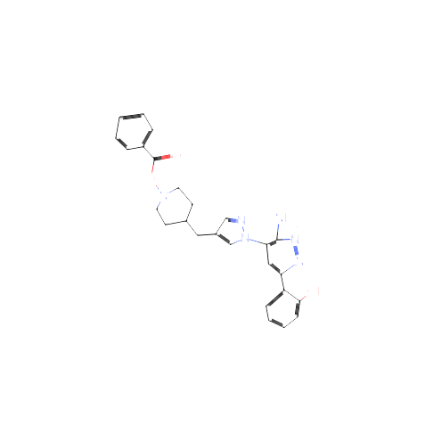 Nc1nnc(-c2ccccc2O)cc1-n1cc(CC2CCN(OC(=O)c3ccccc3)CC2)cn1